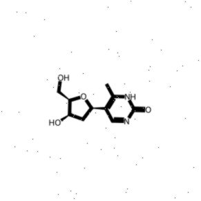 Cc1[nH]c(=O)ncc1[C@H]1C[C@@H](O)[C@@H](CO)O1